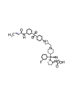 C/C=C/C(=O)Nc1cccc(S(=O)(=O)c2ccc(N3CC(CN4CCC([C@@](C#N)(c5cccc(F)c5)[C@H]5CCC[C@@H]5NC(=O)O)CC4)C3)cc2)c1